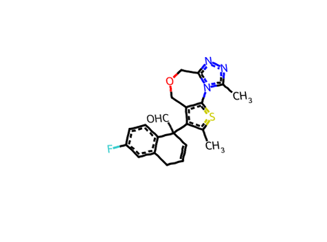 Cc1sc2c(c1C1(C=O)C=CCc3cc(F)ccc31)COCc1nnc(C)n1-2